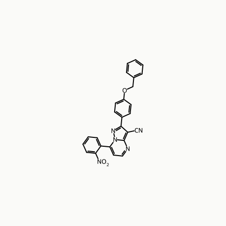 N#Cc1c(-c2ccc(OCc3ccccc3)cc2)nn2c(-c3ccccc3[N+](=O)[O-])ccnc12